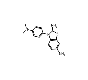 CN(C)c1ccc(N2c3ccc(N)cc3SC2N)cc1